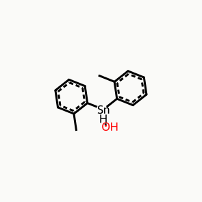 Cc1cccc[c]1[SnH]([OH])[c]1ccccc1C